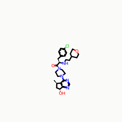 C[C@@H]1C[C@@H](O)c2ncnc(N3CCN(C(=O)[C@@H](Cc4ccc(Cl)cc4)NCCC4CCOCC4)CC3)c21